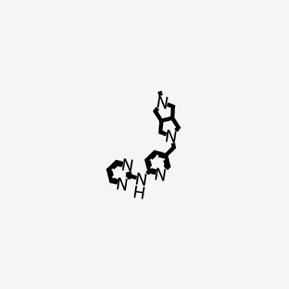 CN1CC2CN(Cc3ccc(Nc4ncccn4)nc3)CC2C1